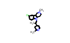 CC(=Cn1c2c(c3cc(Cl)ccc31)CN(C)CC2)c1ccnc(C)c1